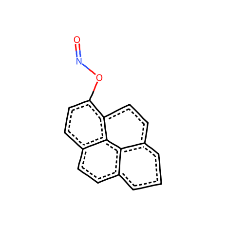 O=NOc1ccc2ccc3cccc4ccc1c2c34